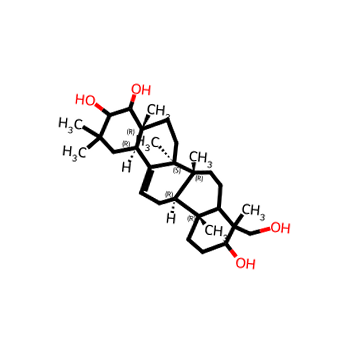 CC1(C)C[C@@H]2C3=CC[C@@H]4[C@@]5(C)CCC(O)C(C)(CO)C5CC[C@@]4(C)[C@]3(C)CC[C@@]2(C)C(O)C1O